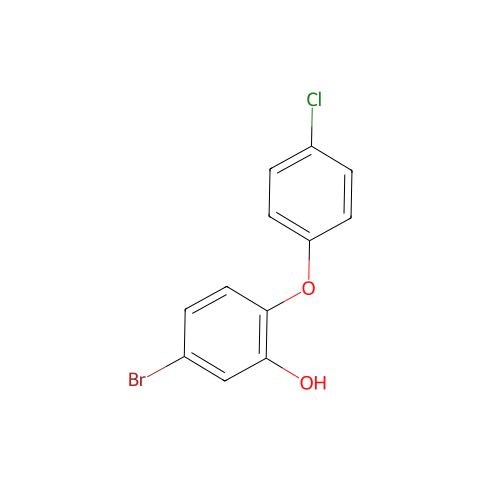 Oc1cc(Br)ccc1Oc1ccc(Cl)cc1